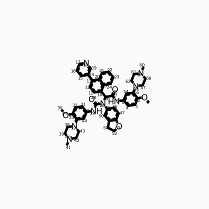 COc1ccc(NC(=O)C(c2ccc(-c3cccnc3)c3ccccc23)N(C(=O)Nc2ccc(OC)c(N3CCN(C)CC3)c2)c2ccc3c(c2)CCO3)cc1N1CCN(C)CC1